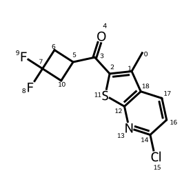 Cc1c(C(=O)C2CC(F)(F)C2)sc2nc(Cl)ccc12